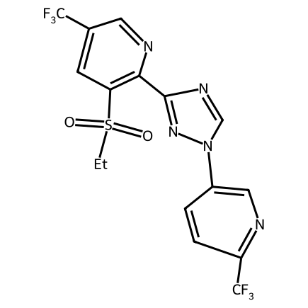 CCS(=O)(=O)c1cc(C(F)(F)F)cnc1-c1ncn(-c2ccc(C(F)(F)F)nc2)n1